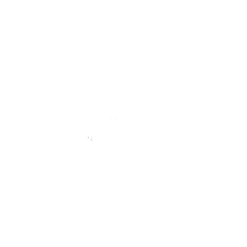 Cc1ccc(-c2nc3ccc(-c4ccco4)cc3o2)s1